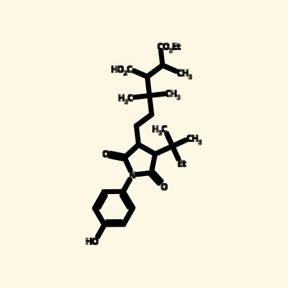 CCOC(=O)C(C)C(C(=O)O)C(C)(C)CCC1C(=O)N(c2ccc(O)cc2)C(=O)C1C(C)(C)CC